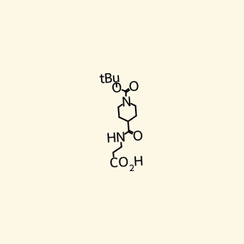 CC(C)(C)OC(=O)N1CCC(C(=O)NCCC(=O)O)CC1